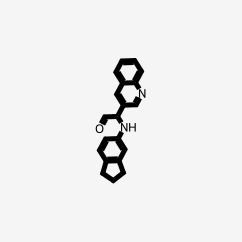 O=CC(Nc1ccc2c(c1)CCC2)c1cnc2ccccc2c1